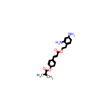 C=C(C)C(=O)OC1C=CC(/C=C/C(=O)OCCC2=CCC(N)C=C2N)=CC1